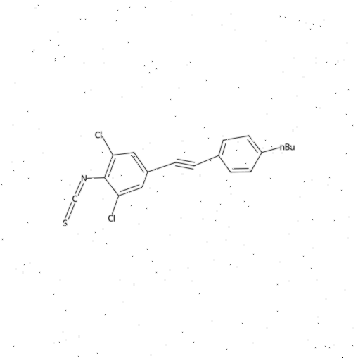 CCCCc1ccc(C#Cc2cc(Cl)c(N=C=S)c(Cl)c2)cc1